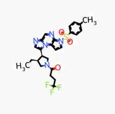 CC[C@@H]1CN(C(=O)CCC(F)(F)F)C[C@@H]1c1cnc2cnc3c(ccn3S(=O)(=O)c3ccc(C)cc3)n12